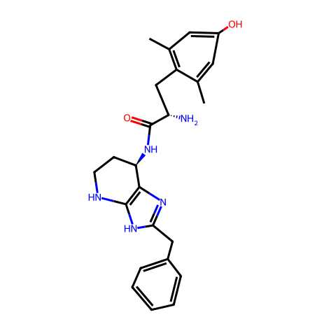 Cc1cc(O)cc(C)c1C[C@H](N)C(=O)N[C@@H]1CCNc2[nH]c(Cc3ccccc3)nc21